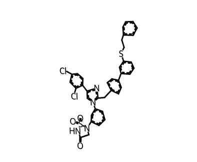 O=C1CN(c2cccc(-n3cc(-c4ccc(Cl)cc4Cl)nc3Cc3ccc(-c4cccc(SCCc5ccccc5)c4)cc3)c2)S(=O)(=O)N1